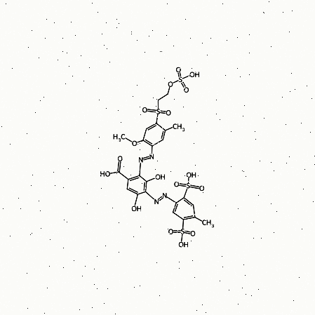 COc1cc(S(=O)(=O)CCOS(=O)(=O)O)c(C)cc1N=Nc1c(C(=O)O)cc(O)c(N=Nc2cc(S(=O)(=O)O)c(C)cc2S(=O)(=O)O)c1O